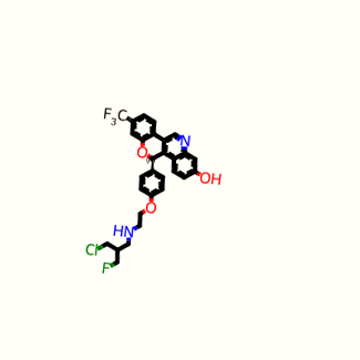 Oc1ccc2c3c(cnc2c1)-c1ccc(C(F)(F)F)cc1O[C@@H]3c1ccc(OCCNCC(CF)CCl)cc1